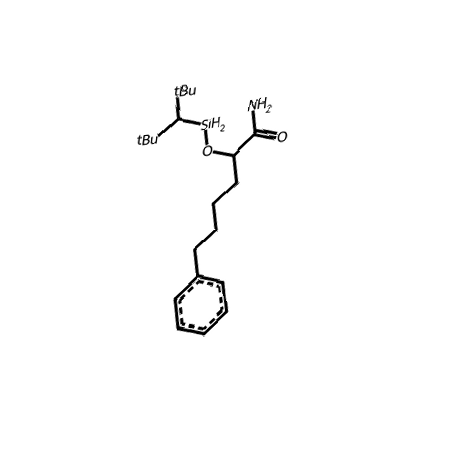 CC(C)(C)C([SiH2]OC(CCCCc1ccccc1)C(N)=O)C(C)(C)C